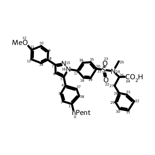 CCCCCc1ccc(-c2cc(-c3ccc(OC)cc3)nn2-c2ccc(S(=O)(=O)N(C)C(Cc3ccccc3)C(=O)O)cc2)cc1